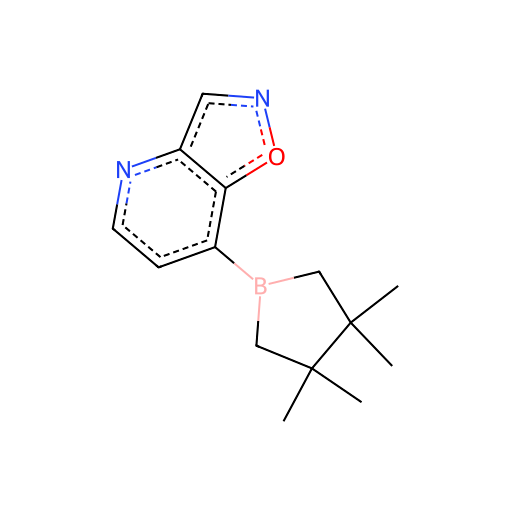 CC1(C)CB(c2ccnc3cnoc23)CC1(C)C